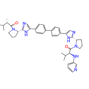 CC(C)[C@H](C)C(=O)N1CCC[C@H]1c1ncc(-c2ccc(-c3ccc(-c4cnc([C@@H]5CCCN5C(=O)[C@@H](Nc5cccnc5)C(C)C)[nH]4)cc3)cc2)[nH]1